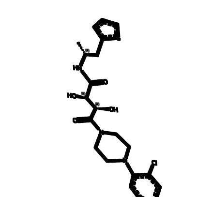 C[C@H](Cc1cccs1)NC(=O)[C@H](O)[C@@H](O)C(=O)N1CCN(c2ccccc2Cl)CC1